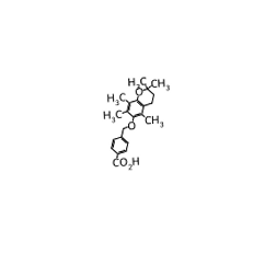 Cc1c(C)c2c(c(C)c1OCc1ccc(C(=O)O)cc1)CCC(C)(C)O2